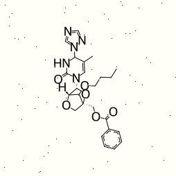 CCCCOC1[C@@H]2OC[C@]1(COC(=O)c1ccccc1)O[C@H]2N1C=C(C)C(n2cncn2)NC1=O